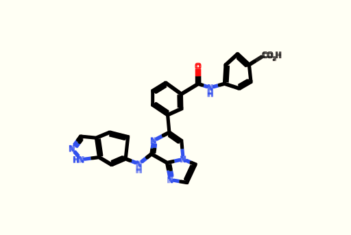 O=C(O)c1ccc(NC(=O)c2cccc(-c3cn4ccnc4c(Nc4ccc5cn[nH]c5c4)n3)c2)cc1